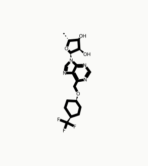 C[C@H]1O[C@@H](n2cnc3c(CO[C@H]4CC[C@H](C(F)(F)F)CC4)ncnc32)[C@H](O)[C@@H]1O